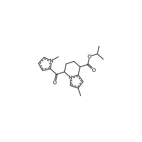 Cc1cc2n(c1)C(C(=O)c1cccn1C)CCC2C(=O)OC(C)C